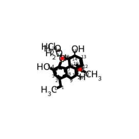 CCc1cc(O)c2c3c1C[C@@H]1[C@@H]4C=C[C@H](O)[C@H](O2)[C@]34CCN1C.Cl.O.O